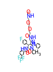 CCN1C(=O)C(NC(=O)c2cccc(C(F)(F)F)c2)C(c2ccc(F)cc2)c2c(CNC(=O)CCOCCOCCNC=O)nn(-c3ccccc3)c21